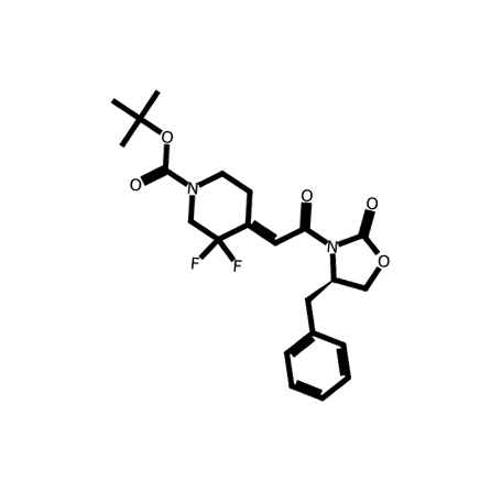 CC(C)(C)OC(=O)N1CC/C(=C\C(=O)N2C(=O)OC[C@H]2Cc2ccccc2)C(F)(F)C1